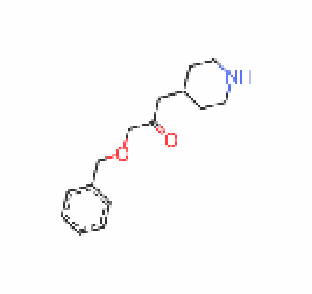 O=C(COCc1ccccc1)CC1CCNCC1